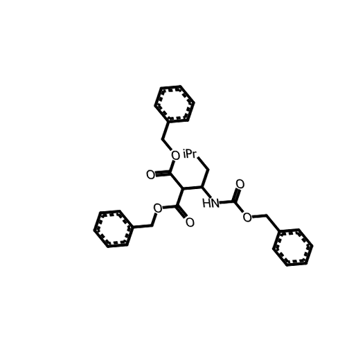 CC(C)CC(NC(=O)OCc1ccccc1)C(C(=O)OCc1ccccc1)C(=O)OCc1ccccc1